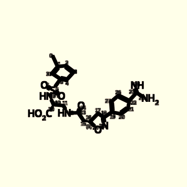 Cc1cccc(S(=O)(=O)N[C@@H](CNC(=O)C[C@H]2CC(c3ccc(C(=N)N)cc3)=NO2)C(=O)O)c1